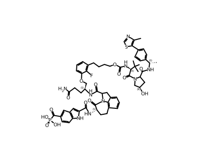 Cc1ncsc1-c1ccc([C@H](C)NC(=O)C2C[C@@H](O)CN2C(=O)[C@@H](NC(=O)OCCCCc2cccc(OC[C@H](CCC(N)=O)NC(=O)C3Cc4cccc5c4N3C(=O)[C@@H](NC(=O)c3cc4cc(C(=O)P(=O)(O)O)ccc4[nH]3)CC5)c2F)C(C)(C)C)cc1